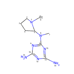 CCN1CCCC1N(C)c1nc(N)nc(N)n1